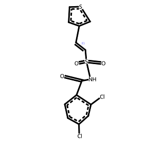 O=C(NS(=O)(=O)/C=C/c1ccsc1)c1ccc(Cl)cc1Cl